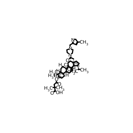 C=C(C)[C@@H]1CC[C@]2(CC(=O)N3CCN(CC4=NCC(C)=C4)CC3)CC[C@]3(C)[C@H](CC[C@@H]4[C@@]5(C)CC[C@H](OC(=O)CC(C)(C)C(=O)O)C(C)(C)[C@@H]5CC[C@]43C)[C@@H]12